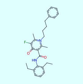 CCc1cccc(CC)c1NC(=O)c1c(C)n(CCCCc2ccccc2)c(C)c(F)c1=O